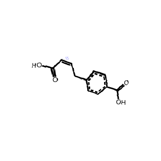 O=C(O)/C=C\Cc1ccc(C(=O)O)cc1